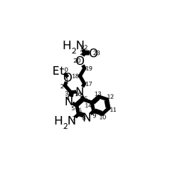 CCOCc1nc2c(N)nc3ccccc3c2n1CCCOC(N)=O